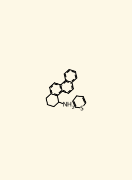 C1=CSC=CC1.NC1CCCc2ccc3c(ccc4ccccc43)c21